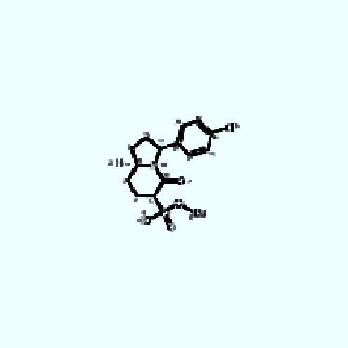 CCC(C)OP(=O)(O)C1CC[C@H]2CC[C@@H](c3ccc(Cl)cc3)N2C1=O